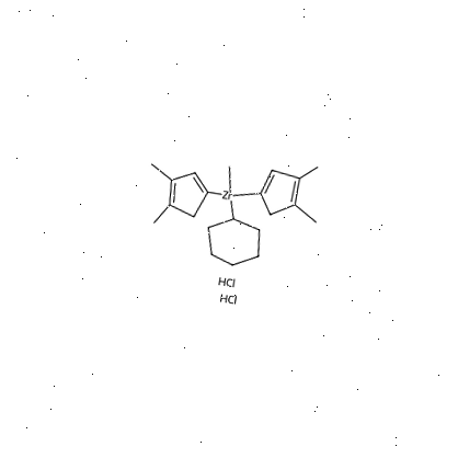 CC1=C(C)C[C]([Zr]([CH3])([C]2=CC(C)=C(C)C2)[CH]2CCCCC2)=C1.Cl.Cl